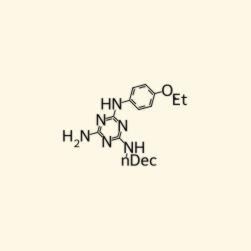 CCCCCCCCCCNc1nc(N)nc(Nc2ccc(OCC)cc2)n1